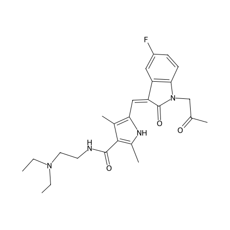 CCN(CC)CCNC(=O)c1c(C)[nH]c(/C=C2\C(=O)N(CC(C)=O)c3ccc(F)cc32)c1C